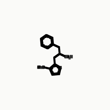 COc1ccsc1CC(Cc1ccccc1)C(=O)O